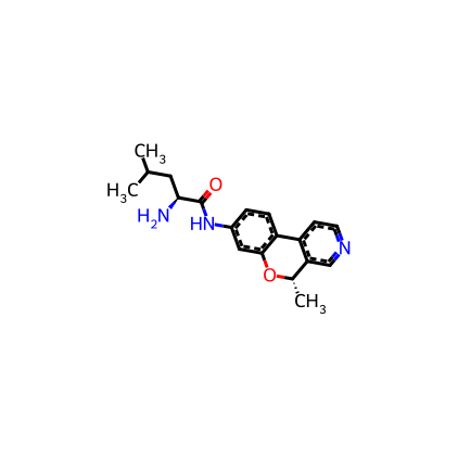 CC(C)C[C@H](N)C(=O)Nc1ccc2c(c1)O[C@@H](C)c1cnccc1-2